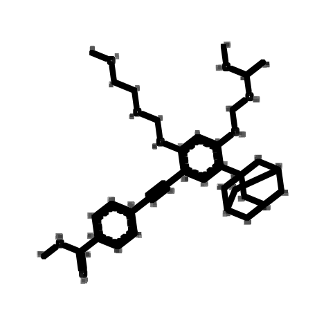 COCCOCOc1cc(OCOC(C)OC)c(C23CC4CC(CC(C4)C2)C3)cc1C#Cc1ccc(C(=O)OC)cc1